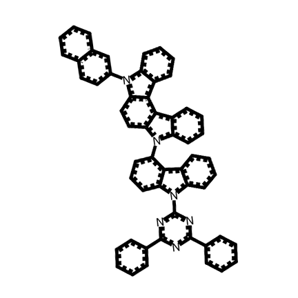 c1ccc(-c2nc(-c3ccccc3)nc(-n3c4ccccc4c4c(-n5c6ccccc6c6c7c8ccccc8n(-c8ccc9ccccc9c8)c7ccc65)cccc43)n2)cc1